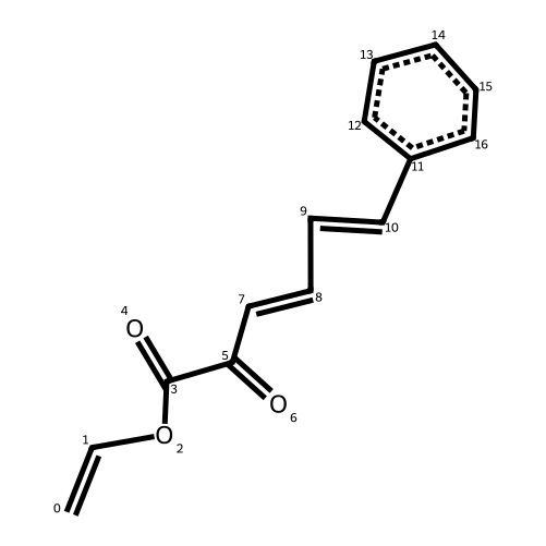 C=COC(=O)C(=O)C=CC=Cc1ccccc1